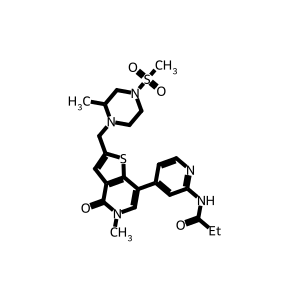 CCC(=O)Nc1cc(-c2cn(C)c(=O)c3cc(CN4CCN(S(C)(=O)=O)CC4C)sc23)ccn1